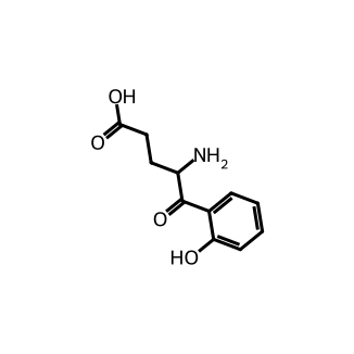 NC(CCC(=O)O)C(=O)c1ccccc1O